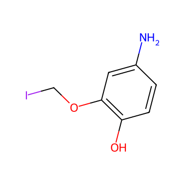 Nc1ccc(O)c(OCI)c1